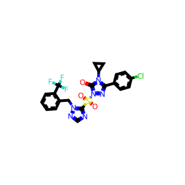 O=c1n(S(=O)(=O)c2ncnn2Cc2ccccc2C(F)(F)F)nc(-c2ccc(Cl)cc2)n1C1CC1